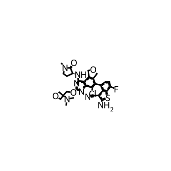 CN1CC[C@@H](Nc2nc(OCC3(N(C)C)COC3)nc3c(Cl)c(-c4ccc(F)c5sc(N)c(C#N)c45)c4c(c23)COC4)C1=O